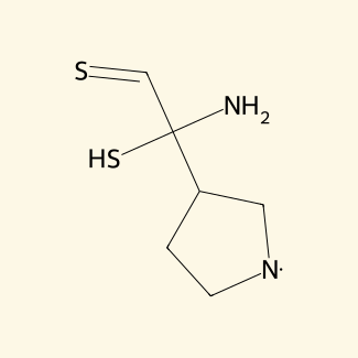 NC(S)(C=S)C1CC[N]C1